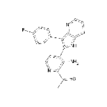 CC(=O)c1nccc(-c2[nH]c3cccnc3c2-c2ccc(F)cc2)c1N